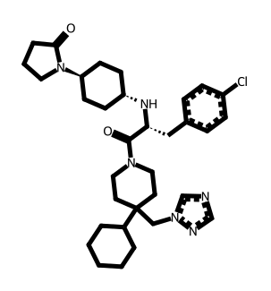 O=C([C@@H](Cc1ccc(Cl)cc1)N[C@H]1CC[C@H](N2CCCC2=O)CC1)N1CCC(Cn2cncn2)(C2CCCCC2)CC1